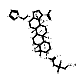 C=C(C)[C@@H]1CC[C@]2(CCn3cccc3)CC[C@]3(C)[C@H](CC[C@@H]4[C@@]5(C)CC[C@H](OC(=O)CC(C)(C)CC(=O)O)C(C)(C)[C@@H]5CC[C@]43C)[C@@H]12